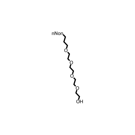 CCCCCCCCCCCCOCCOCCOCCOCCO